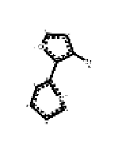 Brc1ccoc1-c1ccccc1